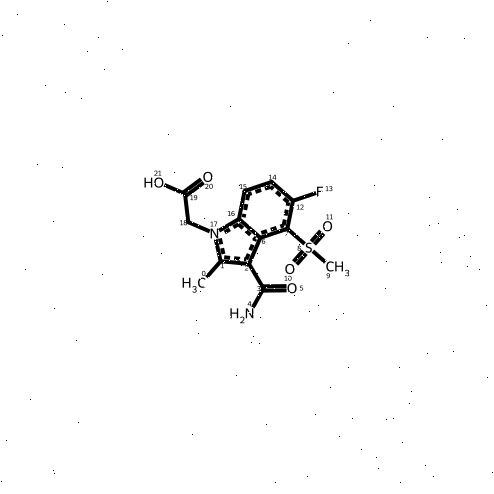 Cc1c(C(N)=O)c2c(S(C)(=O)=O)c(F)ccc2n1CC(=O)O